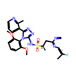 C=N/C(C[C@@H](C)S(=O)(=O)Nc1nnc(-c2cccnc2C)n1-c1c(OC)cccc1OC)=N\C=C(/C)F